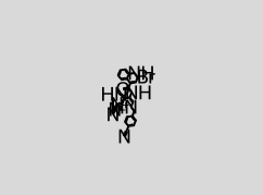 N#Cc1ccc(CN/C=C(/NC(=O)C2=CC(Br)Nc3ccccc32)C(=N)CN=[N+]=[N-])cc1